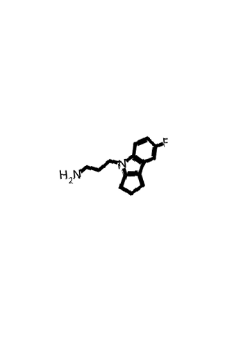 NCCCn1c2c(c3cc(F)ccc31)CCC2